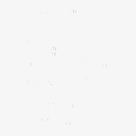 CC(=O)OC(CC(C(C)C)N(C)C(=O)OC(C)(C)C)c1nc(C=O)c(C(C)C)s1